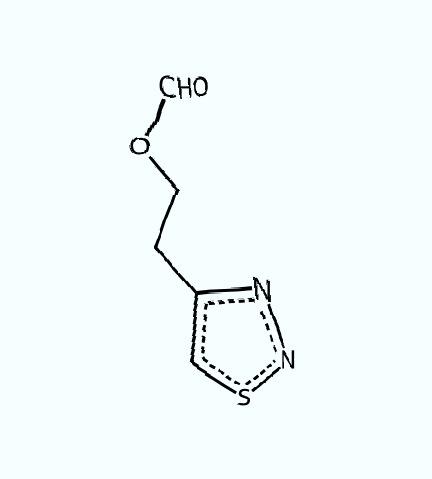 O=COCCc1csnn1